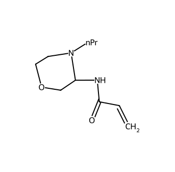 C=CC(=O)NC1COCCN1CCC